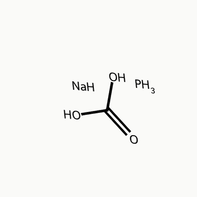 O=C(O)O.P.[NaH]